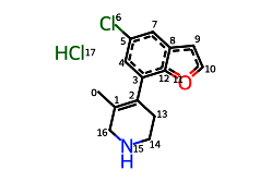 CC1=C(c2cc(Cl)cc3ccoc23)CCNC1.Cl